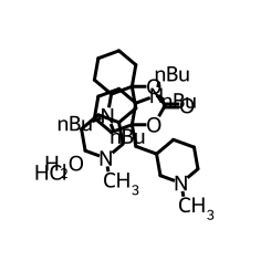 CCCCN(CCCC)C1CCCCC1(CC1CCCN(C)C1)OC(=O)OC1(CC2CCCN(C)C2)CCCCC1N(CCCC)CCCC.Cl.O